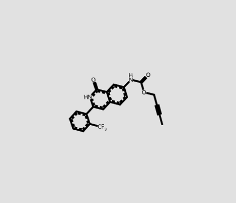 CC#CCOC(=O)Nc1ccc2cc(-c3ccccc3C(F)(F)F)[nH]c(=O)c2c1